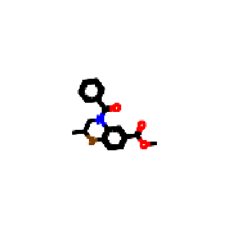 COC(=O)c1ccc2c(c1)N(C(=O)c1ccccc1)CC(C)S2